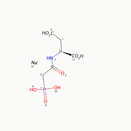 O=C(O)C[C@H](NC(=O)CP(=O)(O)O)C(=O)O.[Na]